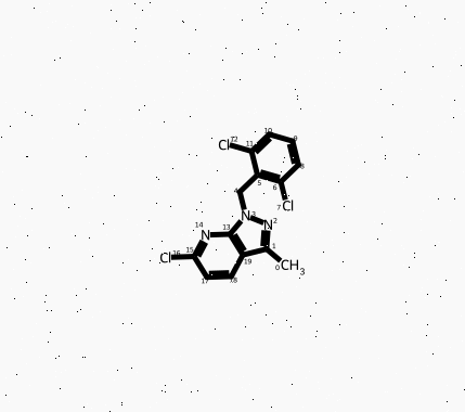 Cc1nn(Cc2c(Cl)cccc2Cl)c2nc(Cl)ccc12